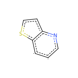 [c]1[c]c2sccc2nc1